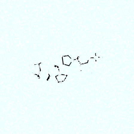 C[C@@H](O)[C@H](NC(=O)[C@H]1CCCN1C(=O)[C@@H]1CCN(C(=O)[C@@H](NC(=O)O)[C@@H](C)O[Si](C)(C)C(C)(C)C)C1)C(N)=O